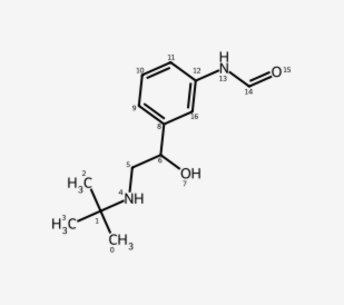 CC(C)(C)NCC(O)c1cccc(NC=O)c1